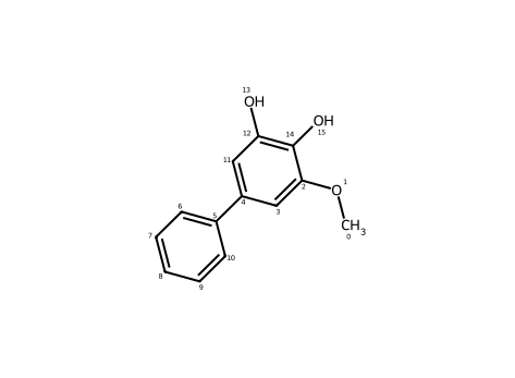 COc1cc(-c2ccccc2)cc(O)c1O